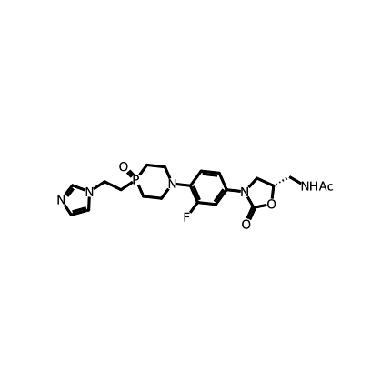 CC(=O)NC[C@H]1CN(c2ccc(N3CCP(=O)(CCn4ccnc4)CC3)c(F)c2)C(=O)O1